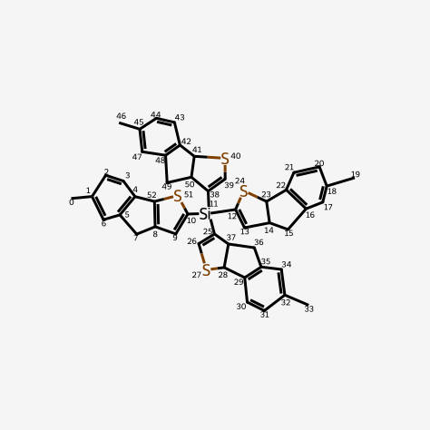 Cc1ccc2c(c1)Cc1cc([Si](C3=CC4Cc5cc(C)ccc5C4S3)(C3=CSC4c5ccc(C)cc5CC34)C3=CSC4c5ccc(C)cc5CC34)sc1-2